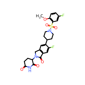 COc1ccc(F)cc1S(=O)(=O)N1CCC(c2cc3c(cc2F)C(=O)N(C2CCC(=O)NC2=O)C3)CC1